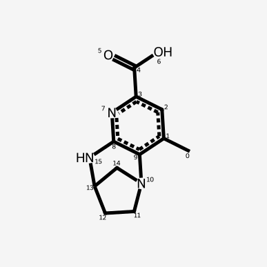 Cc1cc(C(=O)O)nc2c1N1CCC(C1)N2